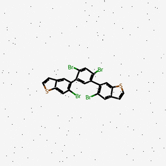 Brc1cc(Br)c(-c2cc3sccc3cc2Br)cc1-c1cc2ccsc2cc1Br